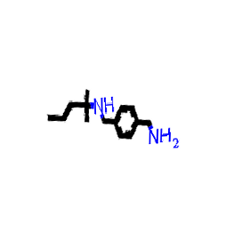 CCCC(C)(C)NCc1ccc(CN)cc1